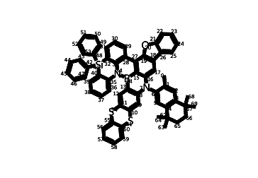 Cc1cc2c(cc1N1c3cc4c(cc3B3c5c1cc1c(oc6ccccc61)c5-c1cccc5c1N3c1ccccc1[Si]5(c1ccccc1)c1ccccc1)Sc1ccccc1S4)C(C)(C)CCC2(C)C